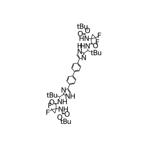 CC(C)(C)OC(=O)NC1(C(=O)NC(c2nc(-c3ccc(-c4ccc(-c5c[nH]c(C(NC(=O)C6(NC(=O)OC(C)(C)C)CC6(F)F)C(C)(C)C)n5)cc4)cc3)c[nH]2)C(C)(C)C)CC1(F)F